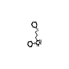 [CH](CSc1ccccc1)Cc1nnnn1-c1ccccc1